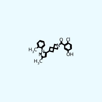 Cc1cc(C2CC3(C2)CN(C(=O)c2cc(O)ccc2Cl)C3)n(-c2ccccc2C)n1